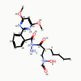 CCCCC[C@H](CN(O)C=O)C(=O)N(N)C(=O)c1ccccc1-c1nc(OC)cc(OC)n1